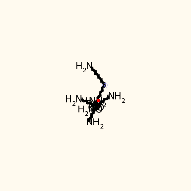 NCCCCCCCC/C=C\CCCCCCCC(C(=O)[C@@H](N)CCCCN)(C(=O)[C@@H](N)CCCCN)C(=O)[C@@H](N)CCCCN